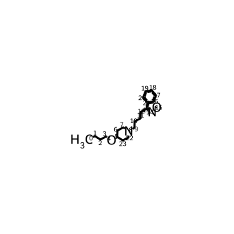 CCCCOC1CCN(CCCCc2noc3ccccc23)CC1